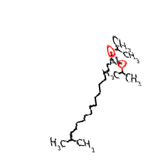 CC(C)CCCCCCCCCCCCCC[CH2][Al]([O]C(C)C)[O]C(C)C